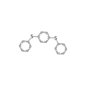 c1ccc(Sc2ccc(Sc3ccccc3)cc2)cc1